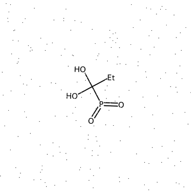 CCC(O)(O)P(=O)=O